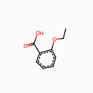 CCOc1cc[c]cc1C(=O)O